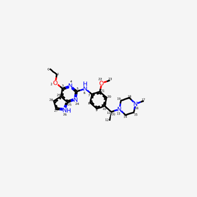 CCOc1nc(Nc2ccc([C@H](C)N3CCN(C)CC3)cc2OC)nc2[nH]ccc12